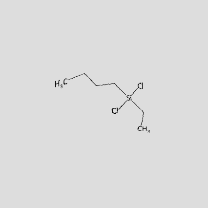 CCCC[Si](Cl)(Cl)CC